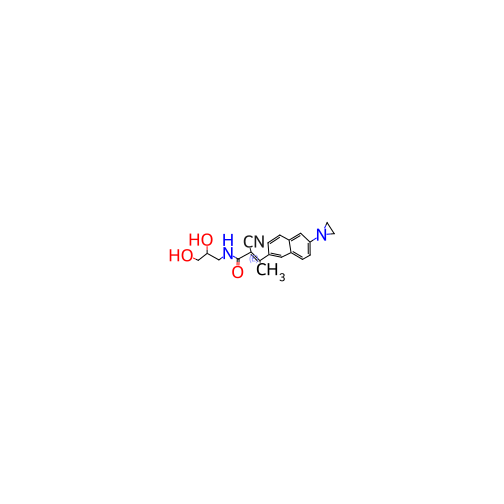 C/C(=C(/C#N)C(=O)NCC(O)CO)c1ccc2cc(N3CC3)ccc2c1